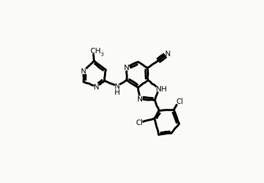 Cc1cc(Nc2ncc(C#N)c3[nH]c(-c4c(Cl)cccc4Cl)nc23)ncn1